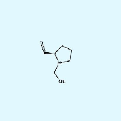 CCN1CCC[C@@H]1C=O